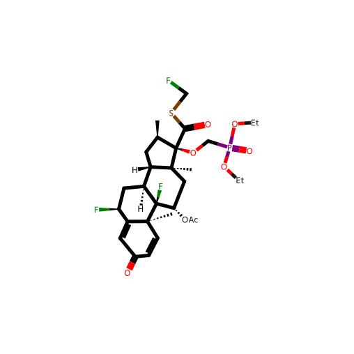 CCOP(=O)(CO[C@]1(C(=O)SCF)[C@H](C)C[C@H]2[C@@H]3C[C@H](F)C4=CC(=O)C=C[C@]4(C)[C@@]3(F)[C@@H](OC(C)=O)C[C@@]21C)OCC